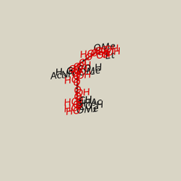 CC[C@H]1OC(CO[C@H]2OC(COC)[C@@H](OCC(O)COCCCCOCC(O)COCC3OC(C)C(NC(C)=O)[C@@H](O[C@@H]4OC(C(=O)O)[C@@H](OC)[C@H](O)C4OCC(O)COCCCCOCC(O)COCC4OC(C)C(NC(C)=O)[C@@H](O[C@@H]5OC(C(=O)O)[C@@H](OC)[C@H](O)C5O)[C@@H]4O)[C@@H]3O)CC2O)[C@@H](O)[C@H](O)C1O